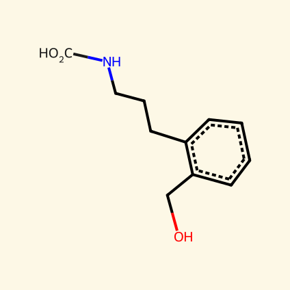 O=C(O)NCCCc1ccccc1CO